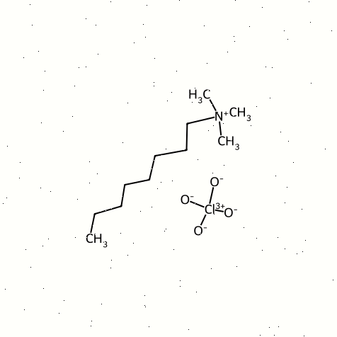 CCCCCCCC[N+](C)(C)C.[O-][Cl+3]([O-])([O-])[O-]